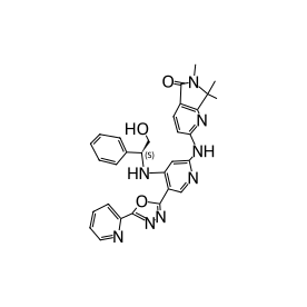 CN1C(=O)c2ccc(Nc3cc(N[C@H](CO)c4ccccc4)c(-c4nnc(-c5ccccn5)o4)cn3)nc2C1(C)C